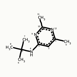 Cc1cc(NC(C)(C)C)nc(C)n1